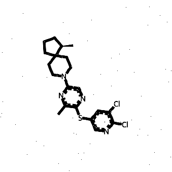 Cc1nc(N2CCC3(CCC[C@H]3C)CC2)cnc1Sc1cnc(Cl)c(Cl)c1